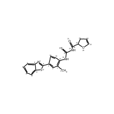 Cc1cc(-c2nc3ccccc3s2)ccc1NC(=S)NC(=O)C1CC=CO1